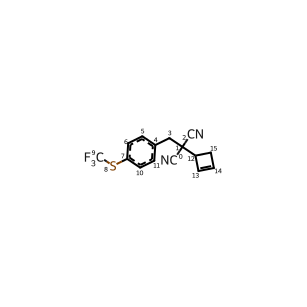 N#CC(C#N)(Cc1ccc(SC(F)(F)F)cc1)C1C=CC1